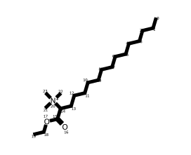 CCCCCCCCCCCCCCC(C(=O)OCC)[N+](C)(C)C